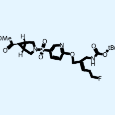 COC(=O)[C@H]1[C@@H]2CN(S(=O)(=O)c3ccc(OC/C(=C/CCF)CNC(=O)OC(C)(C)C)nc3)C[C@@H]21